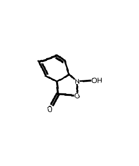 O=C1ON(O)C2C=CC=CC12